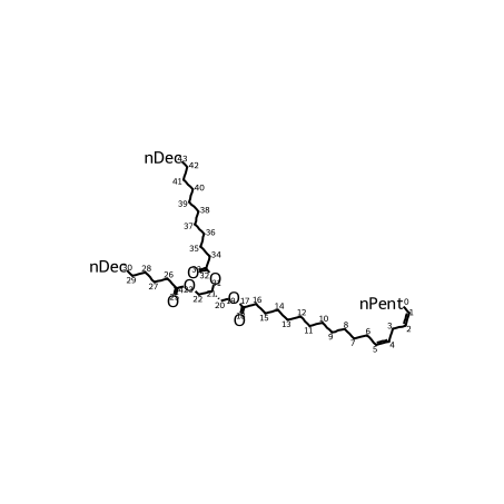 CCCCC/C=C\C/C=C\CCCCCCCCCCCC(=O)OC[C@H](COC(=O)CCCCCCCCCCCCCC)OC(=O)CCCCCCCCCCCCCCCCCCC